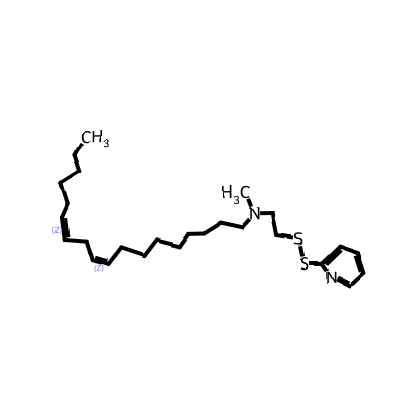 CCCCC/C=C\C/C=C\CCCCCCCCN(C)CCSSc1ccccn1